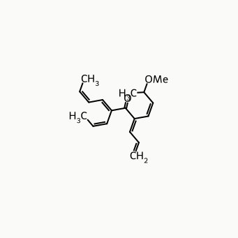 C=C/C=C(\C=C/C(C)OC)C(=O)C(/C=C\C)=C/C=C\C